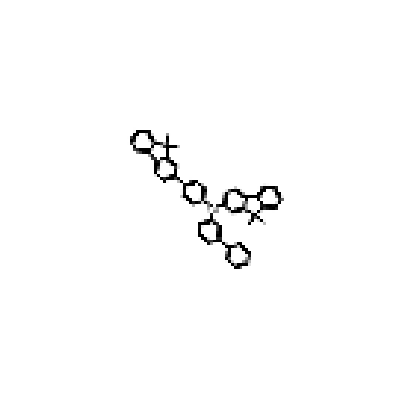 CC1(C)c2ccccc2-c2ccc(-c3ccc(N(c4cccc(-c5ccccc5)c4)c4ccc5c(c4)C(C)(C)c4ccccc4-5)cc3)cc21